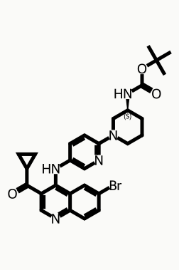 CC(C)(C)OC(=O)N[C@H]1CCCN(c2ccc(Nc3c(C(=O)C4CC4)cnc4ccc(Br)cc34)cn2)C1